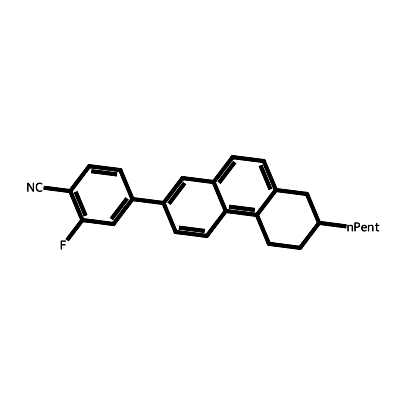 CCCCCC1CCc2c(ccc3cc(-c4ccc(C#N)c(F)c4)ccc23)C1